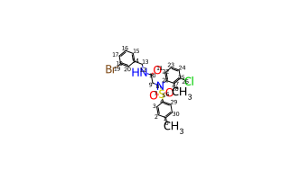 Cc1ccc(S(=O)(=O)N(CC(=O)NCc2cccc(Br)c2)c2cccc(Cl)c2C)cc1